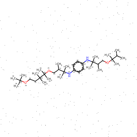 CC(COC(C)(C)C(C)C)C(C)(C)Nc1ccc(NC(C)(C)C(C)COC(C)(C)C(C)(C)CCOC(C)(C)C)cc1